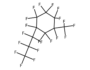 FC(F)(F)C(F)(F)C(F)(F)C1(F)C(F)(F)C(F)(F)C(F)(F)C(F)(C(F)(F)F)C1(F)F